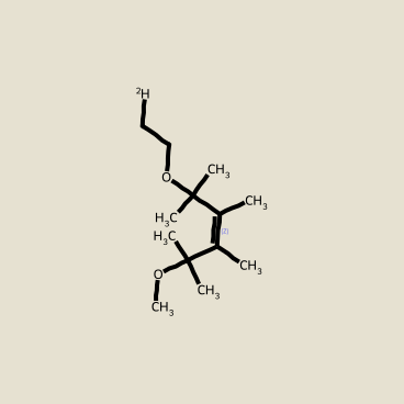 [2H]CCOC(C)(C)/C(C)=C(/C)C(C)(C)OC